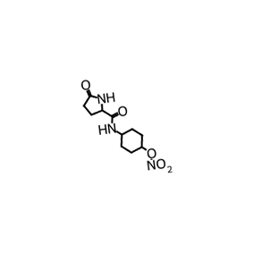 O=C1CCC(C(=O)NC2CCC(O[N+](=O)[O-])CC2)N1